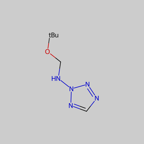 CC(C)(C)OCNn1ncnn1